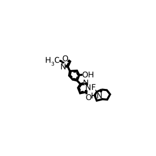 Cc1nc(-c2ccc(-c3ccc(O[C@H]4CC5CCCC(N5)[C@H]4F)nn3)c(O)c2)co1